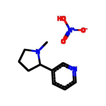 CN1CCCC1c1cccnc1.O=[N+]([O-])O